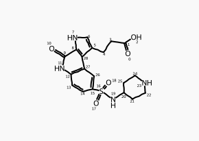 O=C(O)CCc1c[nH]c2c(=O)[nH]c3ccc(S(=O)(=O)NC4CCNCC4)cc3c12